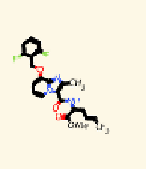 COC(=O)C(CCCC(F)(F)F)NC(=O)c1c(C)nc2c(OCc3c(F)cccc3F)cccn12